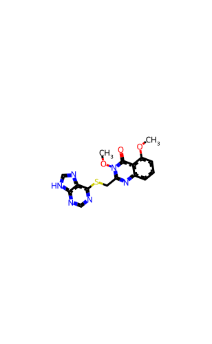 COc1cccc2nc(CSc3ncnc4[nH]cnc34)n(OC)c(=O)c12